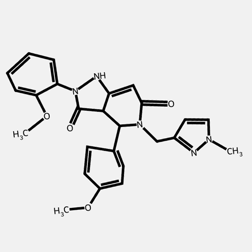 COc1ccc(C2C3C(=O)N(c4ccccc4OC)NC3=CC(=O)N2Cc2ccn(C)n2)cc1